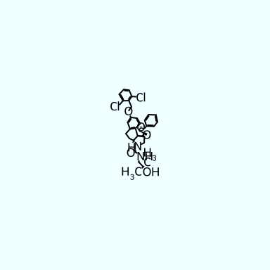 CC(C)(O)CNC(=O)N1CC[C@@]2(S(=O)(=O)c3ccccc3)c3ccc(OCc4c(Cl)cccc4Cl)cc3CC[C@@H]12